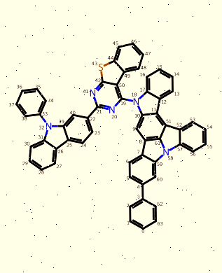 c1ccc(-c2ccc3c4cc5c(c6ccccc6n5-c5nc(-c6ccc7c8ccccc8n(-c8ccccc8)c7c6)nc6sc7ccccc7c56)c5c6ccccc6n(c3c2)c45)cc1